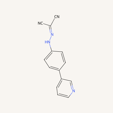 N#CC(C#N)=NNc1ccc(-c2cccnc2)cc1